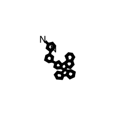 N#Cc1ccnc(-c2cccc(-c3ccc4c(c3)-c3c(ccc5ccccc35)C43c4ccccc4-c4ccccc43)c2)c1